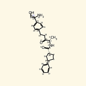 C[C@H](NC(=O)[C@@H]1CC[C@@H](c2ccccc2)C1)C(=O)CCc1ccc(/C(N)=N/O)cc1